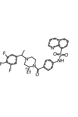 CC[C@H]1CN(C(C)c2cc(F)c(F)c(F)c2)CCN1C(=O)c1ccc(NS(=O)(=O)c2cccc3cccnc23)cc1